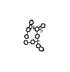 CC(c1ccc(-c2ccccc2)cc1)(c1ccc(-c2cc(-n3c4ccccc4c4ccc(-c5ccccc5)cc43)cc3c2sc2ccccc23)cc1)c1ccc2ccccc2c1